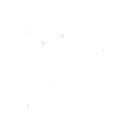 CCOCN(CCCC(=C=O)[SiH](C=C=O)C=C=O)CN(CCC[Si](OCC)(OCC)OCC)COCC